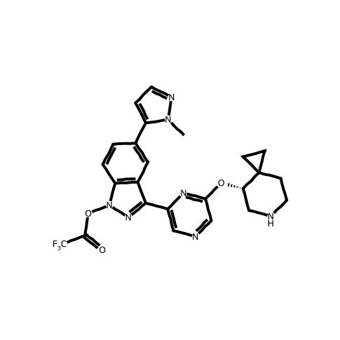 Cn1nccc1-c1ccc2c(c1)c(-c1cncc(O[C@H]3CNCCC34CC4)n1)nn2OC(=O)C(F)(F)F